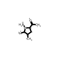 [2H]C1C(C)CC(C(C)=O)N1B